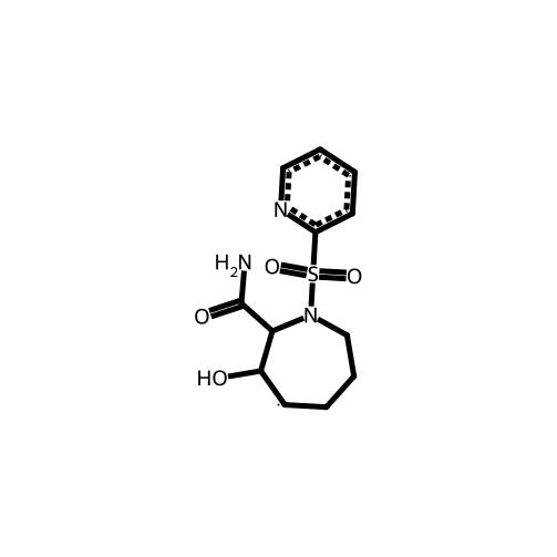 NC(=O)C1C(O)[CH]CCCN1S(=O)(=O)c1ccccn1